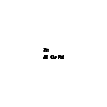 [Al].[Cu].[Pb].[Zn]